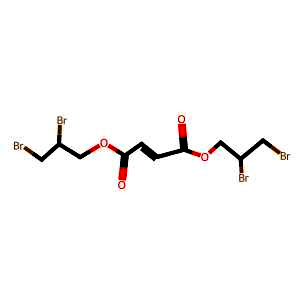 O=C(/C=C/C(=O)OCC(Br)CBr)OCC(Br)CBr